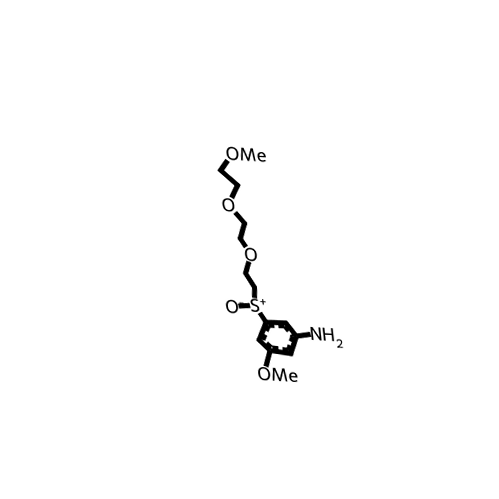 COCCOCCOCC[S+]([O-])c1cc(N)cc(OC)c1